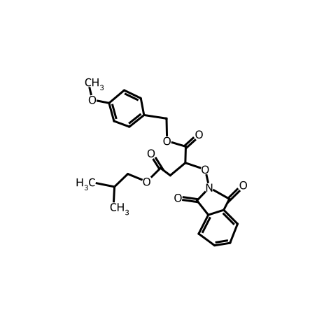 COc1ccc(COC(=O)C(CC(=O)OCC(C)C)ON2C(=O)c3ccccc3C2=O)cc1